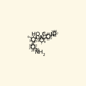 Cc1cc(Oc2cccc(-c3ccc(-n4cccc4)cc3C(=O)O)n2)cc(-c2cccc(CN)c2)c1